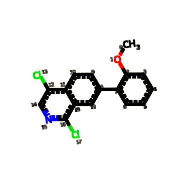 COc1ccccc1-c1ccc2c(Cl)cnc(Cl)c2c1